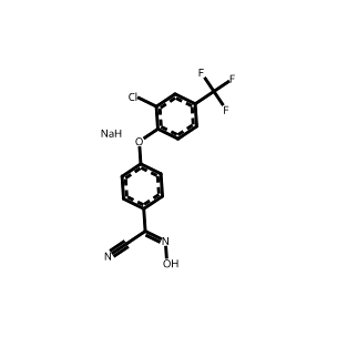 N#CC(=NO)c1ccc(Oc2ccc(C(F)(F)F)cc2Cl)cc1.[NaH]